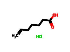 C=CCCCCC(=O)O.Cl